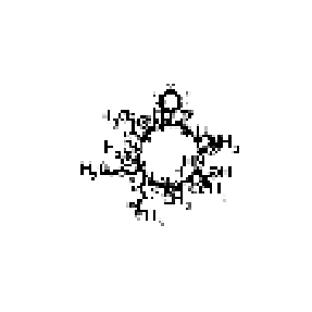 CCCC[C@H]1C(=O)N(C)[C@@H](CCC)C(=O)N[C@@H](C2CCCCC2)C(=O)N[C@@H](CN)C(=O)N[C@@H]([C@H](C)O)C(=O)N[C@H](C)CN1CCCC